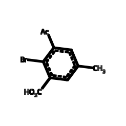 CC(=O)c1cc(C)cc(C(=O)O)c1Br